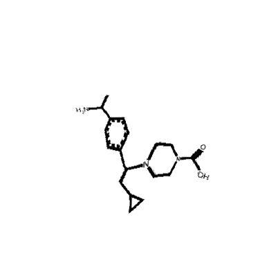 CC(N)c1ccc(C(CC2CC2)N2CCN(C(=O)O)CC2)cc1